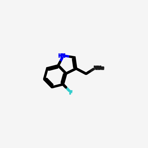 CNCc1c[nH]c2cccc(F)c12